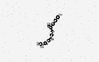 N#Cc1cnn2cc(-c3cnn(C4CCN(C(=O)CC5(O)CCN(c6ccc(NC7CCC(=O)NC7=O)cc6F)CC5)CC4)c3)cc(-c3ccc(N4CCC(c5ccc(O)cc5)CC4)nc3)c12